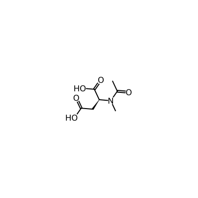 CC(=O)N(C)[C@@H](CC(=O)O)C(=O)O